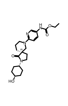 CCOC(=O)Nc1ccc(N2CCC[C@@]3(CCN([C@H]4CC[C@H](O)CC4)C3=O)C2)nc1